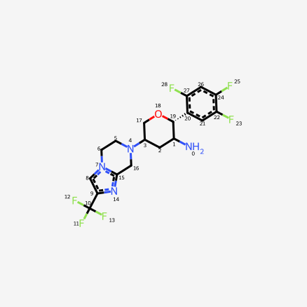 NC1CC(N2CCn3cc(C(F)(F)F)nc3C2)CO[C@@H]1c1cc(F)c(F)cc1F